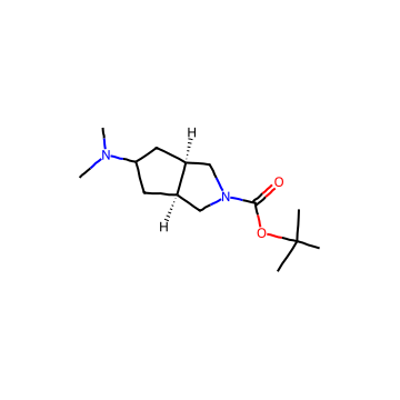 CN(C)C1C[C@@H]2CN(C(=O)OC(C)(C)C)C[C@@H]2C1